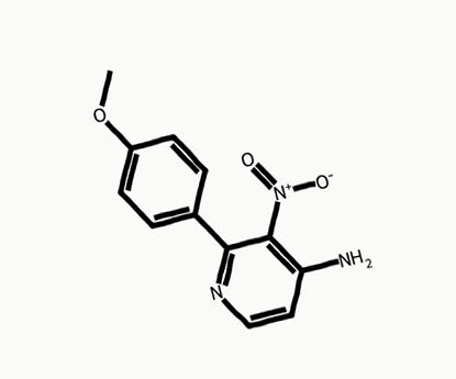 COc1ccc(-c2nccc(N)c2[N+](=O)[O-])cc1